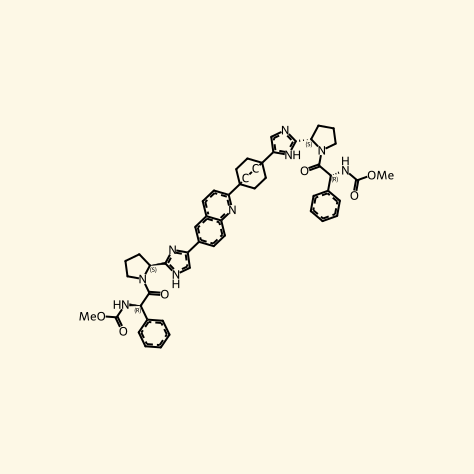 COC(=O)N[C@@H](C(=O)N1CCC[C@H]1c1nc(-c2ccc3nc(C45CCC(c6cnc([C@@H]7CCCN7C(=O)[C@H](NC(=O)OC)c7ccccc7)[nH]6)(CC4)CC5)ccc3c2)c[nH]1)c1ccccc1